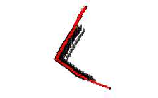 [CH2]C.[CH2]C.[CH2]C.[CH2]C.[CH2]C.[CH2]C.[CH2]C.[CH2]C.[CH2]C.[CH2]C.[CH2]C.[CH2]C.[CH2]C.[CH2]C.[CH2]C.[CH2]C.[CH2]C.[CH2]C.[CH2]C.[CH2]C.[CH2]C.[CH2]C.[CH2]C.[CH2]C.[CH2]C.[CH2]C.[CH2]C.[CH2]C.[CH2]C.[CH2]C.[CH3].[CH3].[CH3].[CH3].[CH3].[CH3].[CH3].[CH3].[CH3].[CH3].[CH3].[CH3].[CH3].[CH3].[CH3].[CH3].[CH3].[CH3].[CH3].[CH3].[CH3].[CH3].[CH3].[CH3].[CH3].[CH3].[CH3].[CH3].[CH3].[CH3].[CH3].[CH3].[CH3].[CH3].[CH3].[CH3].[CH3].[CH3].[CH3].[CH3].[CH3].[CH3].[CH3].[CH3].[CH3].[CH3].[CH3].[CH3].[CH3].[CH3].[CH3].[CH3].[CH3].[CH3].[CH3].[CH3].[CH3].[CH3].[CH3].[CH3].[CH3].[CH3].[CH3].[CH3].[CH3].[CH3].[CH3].[CH3].[CH3].[CH3]